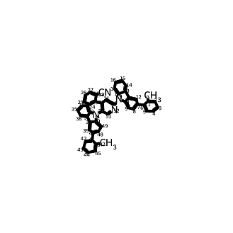 Cc1ccccc1-c1ccc2c(c1)c1ccccc1n2-c1cc(-c2ccccc2C#N)c(-n2c3ccccc3c3cc(-c4ccccc4C)ccc32)cn1